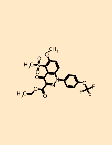 CCOC(=O)c1nn(-c2ccc(OC(F)(F)F)cc2)c2ccc(OC)c(S(C)(=O)=O)c2c1=O